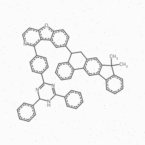 CC1(C)c2ccccc2-c2cc3c(cc21)CC(c1ccc2oc4ccnc(-c5ccc(C6=NC(c7ccccc7)NC(c7ccccc7)=N6)cc5)c4c2c1)c1ccccc1-3